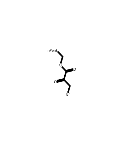 CCCCCCOC(=O)C(=O)CBr